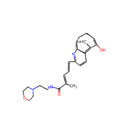 C/C(=C\C=C\c1cc\c2c(n1)=CCC/C=C(O)\C=2C=O)C(=O)NCCN1CCOCC1